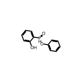 O=[PH](Oc1ccccc1)c1ccccc1O